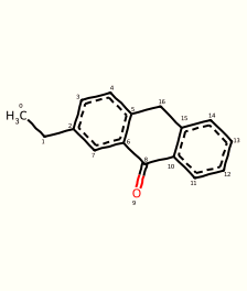 CCc1ccc2c(c1)C(=O)c1ccccc1C2